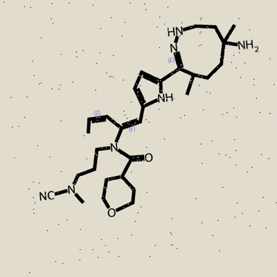 C/C=C\C(=C/c1ccc(/C2=N/NCCC(C)(N)CCC2C)[nH]1)N(CCCN(C)C#N)C(=O)C1CCOCC1